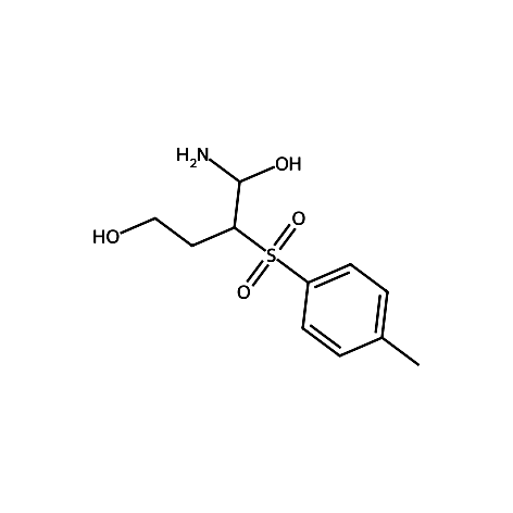 Cc1ccc(S(=O)(=O)C(CCO)C(N)O)cc1